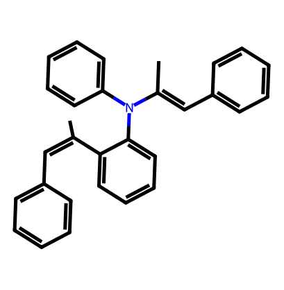 CC(=Cc1ccccc1)c1ccccc1N(C(C)=Cc1ccccc1)c1ccccc1